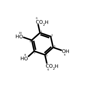 O=C(O)c1cc(O)c(C(=O)O)c(O)c1O